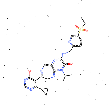 CCS(=O)(=O)c1ccc(CNc2nc3c(n(C(C)C)c2=O)=NCC(c2c(O)ncnc2C2CC2)=NC=3)nc1